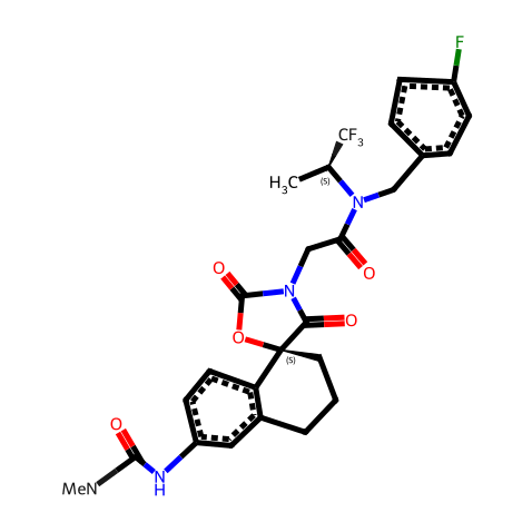 CNC(=O)Nc1ccc2c(c1)CCC[C@]21OC(=O)N(CC(=O)N(Cc2ccc(F)cc2)[C@@H](C)C(F)(F)F)C1=O